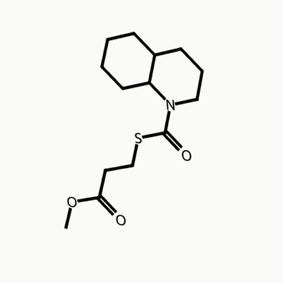 COC(=O)CCSC(=O)N1CCCC2CCCCC21